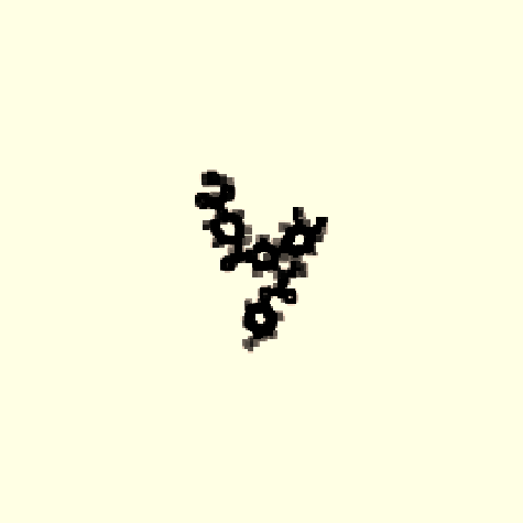 CCN(C(=O)Oc1ccc(F)cc1)[C@@H]1CN(C(=O)C2CCN(C(=O)OC(C)(C)C)CC2)C[C@H]1c1ccc(F)c(F)c1